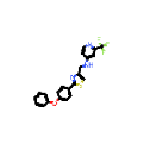 FC(F)(F)c1cc(NCc2csc(-c3ccc(Oc4ccccc4)cc3)n2)ccn1